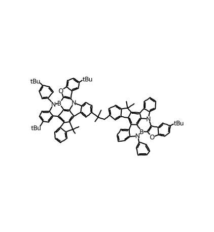 CC(C)(C)c1ccc(N2B3c4oc5ccc(C(C)(C)C)cc5c4-n4c5ccc(C(C)(C)Cc6ccc7c(c6)-c6c8c9c%10c(c6C7(C)C)c6ccccc6n%10-c6c(oc7ccc(C(C)(C)C)cc67)B9N(c6ccccc6)c6ccccc6-8)cc5c5c6c(c(c3c54)-c3cc(C(C)(C)C)ccc32)-c2ccccc2C6(C)C)cc1